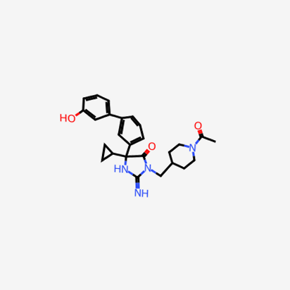 CC(=O)N1CCC(CN2C(=N)NC(c3cccc(-c4cccc(O)c4)c3)(C3CC3)C2=O)CC1